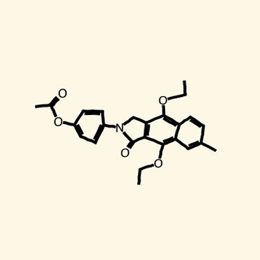 CCOc1c2c(c(OCC)c3cc(C)ccc13)C(=O)N(c1ccc(OC(C)=O)cc1)C2